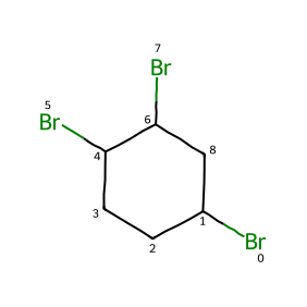 BrC1CCC(Br)C(Br)C1